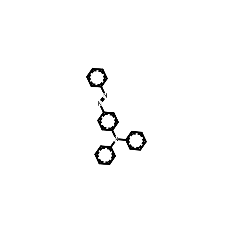 c1ccc(/N=N/c2ccc(N(c3ccccc3)c3ccccc3)cc2)cc1